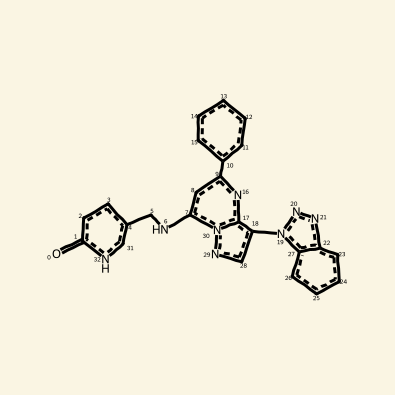 O=c1ccc(CNc2cc(-c3ccccc3)nc3c(-n4nnc5ccccc54)cnn23)c[nH]1